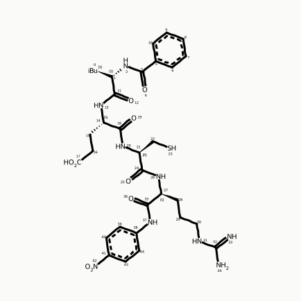 CC[C@H](C)[C@H](NC(=O)c1ccccc1)C(=O)N[C@@H](CCC(=O)O)C(=O)N[C@@H](CS)C(=O)N[C@@H](CCCNC(=N)N)C(=O)Nc1ccc([N+](=O)[O-])cc1